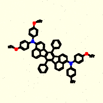 CCCOc1ccc(N(c2ccc(CCC)cc2)c2ccc3c4c(-c5ccccc5)c5c6ccc(N(c7ccc(OCCC)cc7)c7ccc(OCCC)cc7)c7cccc(c5c(-c5ccccc5)c4c4cccc2c43)c76)cc1